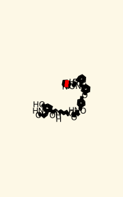 CC(NC(=O)c1ccc(COc2cccc([C@@H](NC(=O)O[C@H]3CN4CCC3CC4)c3ccccc3)c2)cc1)C(=O)OCCCCNC[C@H](O)c1ccc(O)c2[nH]c(=O)ccc12